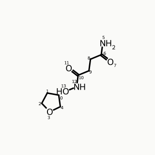 C1CCOC1.NC(=O)CCC(=O)NO